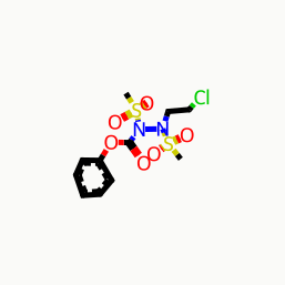 CS(=O)(=O)N(CCCl)N(C(=O)Oc1ccccc1)S(C)(=O)=O